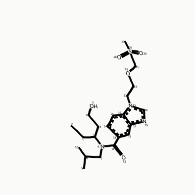 CCC(CCO)N(CC(C)C)C(=O)c1ccc2c(c1)ncn2CCOCS(C)(=O)=O